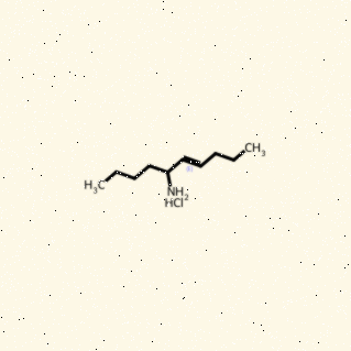 CCC/C=C/C(N)CCCC.Cl